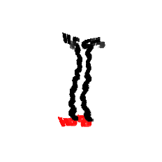 CCCCCCCCCCCCCCCC(=O)O.CCCCCCCCCCCCCCCC=O